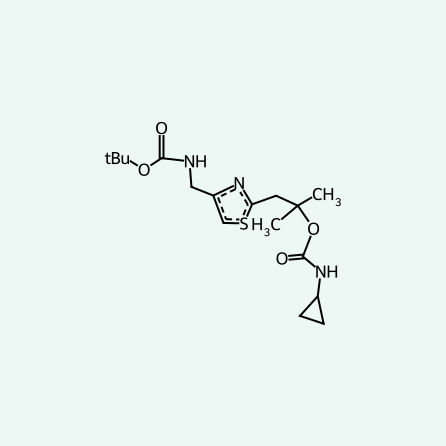 CC(C)(C)OC(=O)NCc1csc(CC(C)(C)OC(=O)NC2CC2)n1